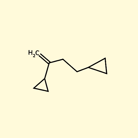 C=C(CCC1CC1)C1CC1